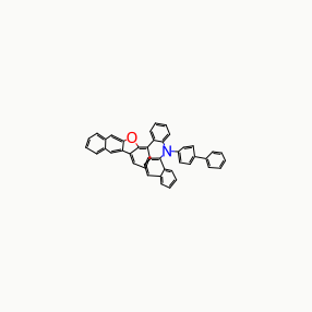 c1ccc(-c2ccc(N(c3ccccc3-c3cccc4c3oc3cc5ccccc5cc34)c3cccc4ccccc34)cc2)cc1